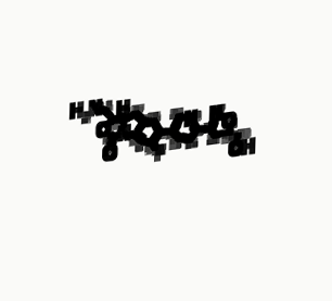 NC[C@@H]1OC(=O)N2c3cc(F)c(-c4ccc(C5=NO[C@H](CO)C5)nc4)cc3C[C@@H]12